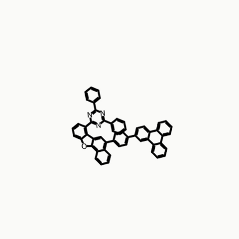 c1ccc(-c2nc(-c3ccccc3)nc(-c3cccc4oc5c6ccccc6c(-c6ccc(-c7ccc8c9ccccc9c9ccccc9c8c7)cc6)cc5c34)n2)cc1